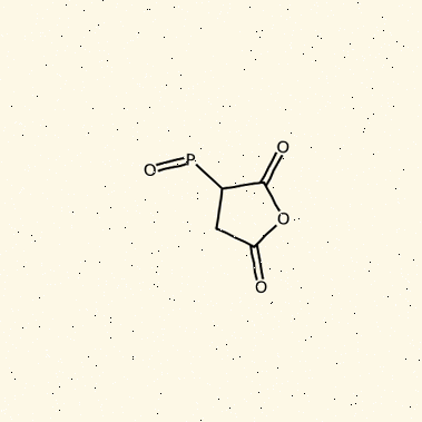 O=PC1CC(=O)OC1=O